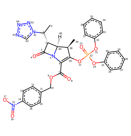 CC([C@H]1C(=O)N2C(C(=O)OCc3ccc([N+](=O)[O-])cc3)=C(OP(=O)(Oc3ccccc3)Oc3ccccc3)[C@H](C)[C@H]12)n1cnnn1